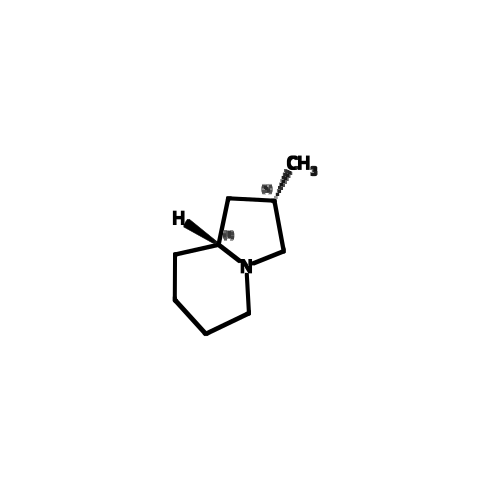 C[C@H]1C[C@H]2CCCCN2C1